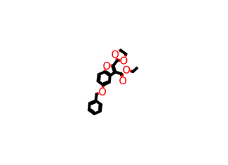 CCOC(=O)c1c(C2OCCO2)oc2ccc(OCc3ccccc3)cc12